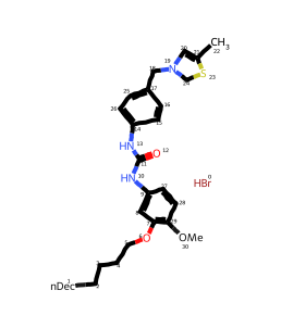 Br.CCCCCCCCCCCCCCOc1cc(NC(=O)Nc2ccc(CN3C=C(C)SC3)cc2)ccc1OC